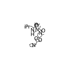 CC(C)CC1NCCN(C(CC(C)C)C(=O)N2CCC3(CC2C)OCC(CN2CCCC2)CO3)C1=O